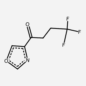 O=C(CCC(F)(F)F)c1cocn1